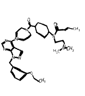 C/C=C/C(=O)N(CCN(C)C)C1CCC(C(=O)N2CCN(c3ncnc4c3cnn4Cc3cccc(OCC)c3)CC2)CC1